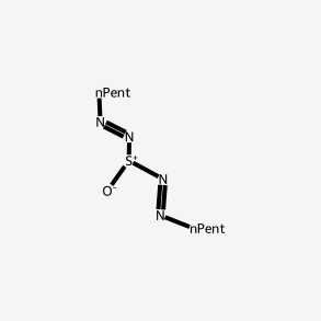 CCCCCN=N[S+]([O-])N=NCCCCC